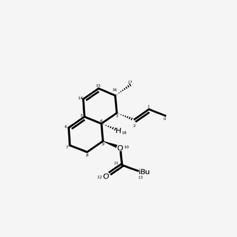 C/C=C/[C@@H]1[C@@H]2C(=CCC[C@@H]2OC(=O)C(C)CC)C=C[C@@H]1C